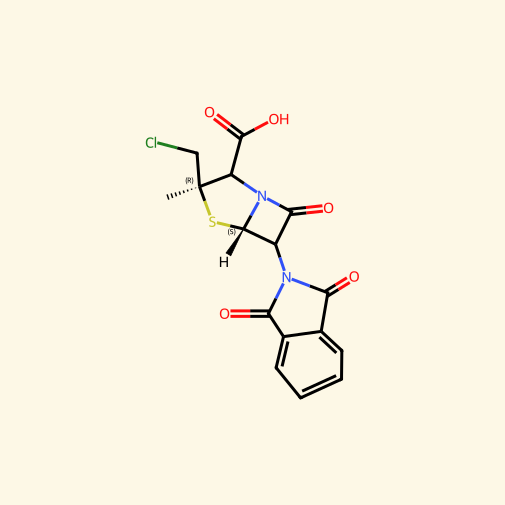 C[C@@]1(CCl)S[C@H]2C(N3C(=O)c4ccccc4C3=O)C(=O)N2C1C(=O)O